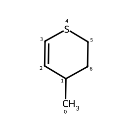 CC1C=CSCC1